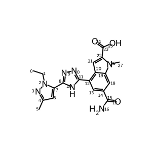 CCn1nc(C)cc1-c1nnc(-c2cc(C(N)=O)cc3c2cc(C(=O)O)n3C)[nH]1